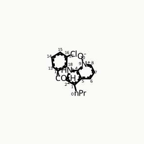 CCCc1c[nH]c2c1ccc[n+]2[O-].O=C(O)c1cccc(Cl)c1